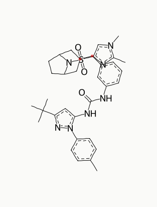 Cc1ccc(-n2nc(C(C)(C)C)cc2NC(=O)Nc2cccc(CC3CC4CCC(C3)N4S(=O)(=O)c3cn(C)c(C)n3)c2)cc1